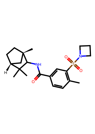 Cc1ccc(C(=O)NC2C(C)(C)[C@@H]3CC[C@@]2(C)C3)cc1S(=O)(=O)N1CCC1